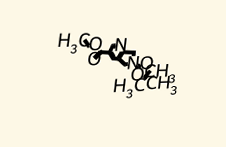 CCOC(=O)c1cnc2c(c1)CN(C(=O)OC(C)(C)C)C2